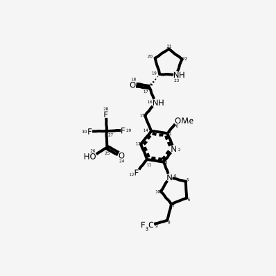 COc1nc(N2CCC(CC(F)(F)F)C2)c(F)cc1CNC(=O)[C@@H]1CCCN1.O=C(O)C(F)(F)F